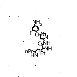 CCCC(=N)C[C@@H](CC)C(=N)C(=O)Nc1cc(Oc2ccc(N)cc2F)ncn1